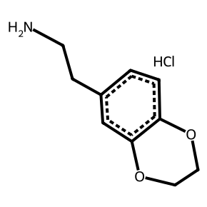 Cl.NCCc1ccc2c(c1)OCCO2